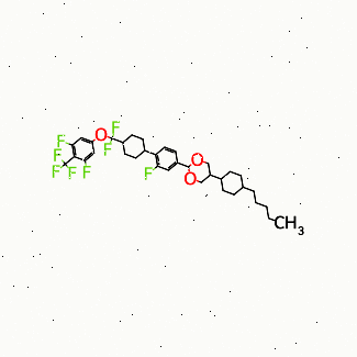 CCCCCC1CCC(C2COC(c3ccc(C4CCC(C(F)(F)Oc5cc(F)c(C(F)(F)F)c(F)c5)CC4)c(F)c3)OC2)CC1